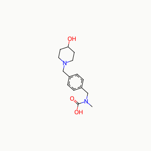 CN(Cc1ccc(CN2CCC(O)CC2)cc1)C(=O)O